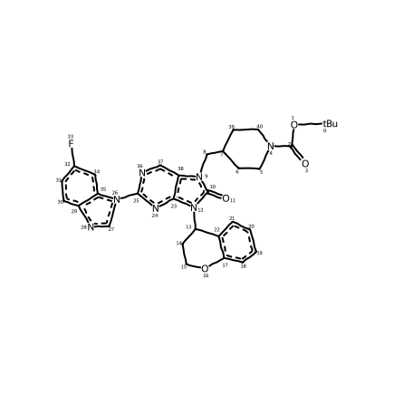 CC(C)(C)OC(=O)N1CCC(Cn2c(=O)n(C3CCOc4ccccc43)c3nc(-n4cnc5ccc(F)cc54)ncc32)CC1